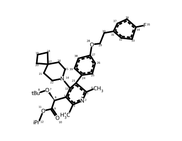 Cc1nc(C)c([C@H](OC(C)(C)C)C(=O)OC(C)C)c(N2CCC3(CCC3)CC2)c1-c1ccc(OCCc2ccc(F)cc2)cc1